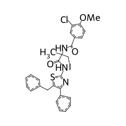 COc1ccc(C(=O)NC(C)(CI)C(=O)Nc2nc(-c3ccccc3)c(Cc3ccccc3)s2)cc1Cl